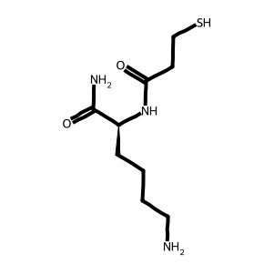 NCCCC[C@H](NC(=O)CCS)C(N)=O